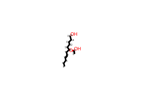 CC(=O)O.CCCC=CCCCCCCCO